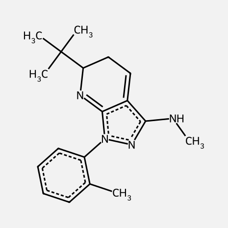 CNc1nn(-c2ccccc2C)c2c1=CCC(C(C)(C)C)N=2